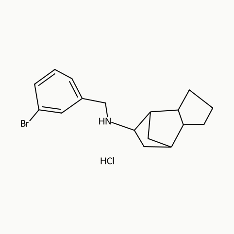 Brc1cccc(CNC2CC3CC2C2CCCC32)c1.Cl